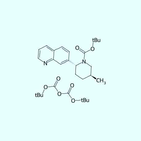 CC(C)(C)OC(=O)OC(=O)OC(C)(C)C.C[C@H]1CC[C@H](c2ccc3cccnc3c2)N(C(=O)OC(C)(C)C)C1